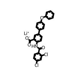 O=C(Nc1ccc(-c2ccc(Oc3ccccc3)cc2)cc1C(=O)[O-])c1ccc(Cl)cc1Cl.[Li+]